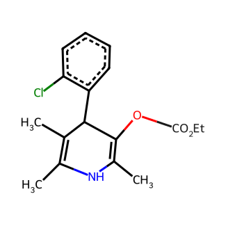 CCOC(=O)OC1=C(C)NC(C)=C(C)C1c1ccccc1Cl